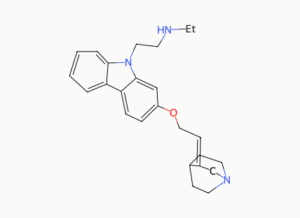 CCNCCn1c2ccccc2c2ccc(OC/C=C3/CN4CCC3CC4)cc21